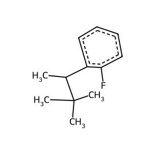 CC(c1ccccc1F)C(C)(C)C